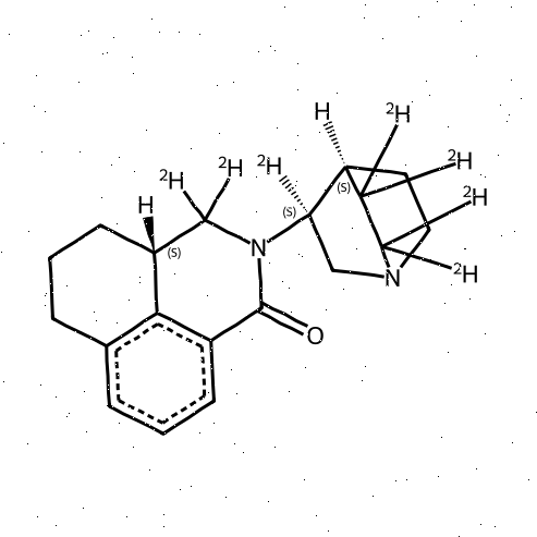 [2H]C1([2H])[C@H]2CCCc3cccc(c32)C(=O)N1[C@]1([2H])CN2CC[C@H]1C([2H])([2H])C2([2H])[2H]